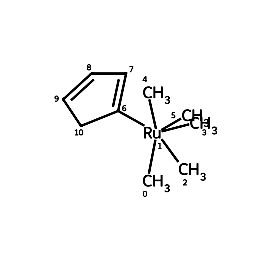 [CH3][Ru]([CH3])([CH3])([CH3])([CH3])[C]1=CC=CC1